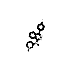 CN1CCCC(N(C)c2nnc(-c3ccc(Cl)cc3)c3ccccc23)C1